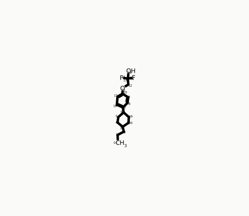 CCCC1CCC(c2ccc(OCC(O)(F)F)cc2)CC1